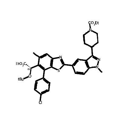 CCOC(=O)[C@@H](OC(C)(C)C)c1c(C)cc2nc(-c3ccc4c(c3)c(C3CCN(C(=O)OCC)CC3)nn4C)sc2c1-c1ccc(Cl)cc1